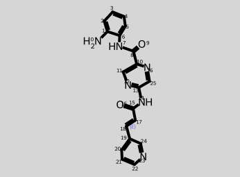 Nc1ccccc1NC(=O)c1cnc(NC(=O)/C=C/c2cccnc2)cn1